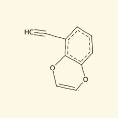 C#Cc1cccc2c1OC=[C]O2